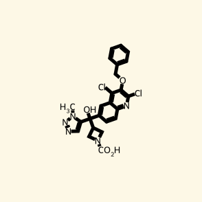 Cn1nncc1C(O)(c1ccc2nc(Cl)c(OCc3ccccc3)c(Cl)c2c1)C1CN(C(=O)O)C1